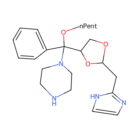 CCCCCOC(c1ccccc1)(C1COC(Cc2ncc[nH]2)O1)N1CCNCC1